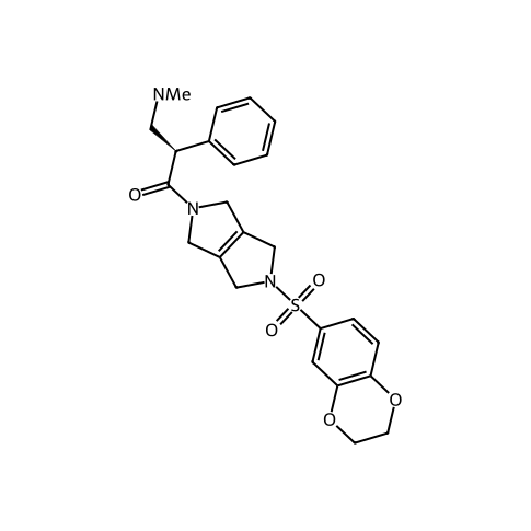 CNC[C@H](C(=O)N1CC2=C(C1)CN(S(=O)(=O)c1ccc3c(c1)OCCO3)C2)c1ccccc1